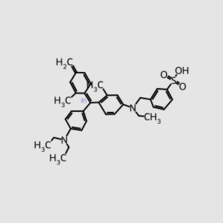 C=c1cc/c(=C(/c2ccc(N(CC)CC)cc2)c2ccc(N(CC)Cc3cccc(S(=O)(=O)O)c3)cc2C)c(C)c1